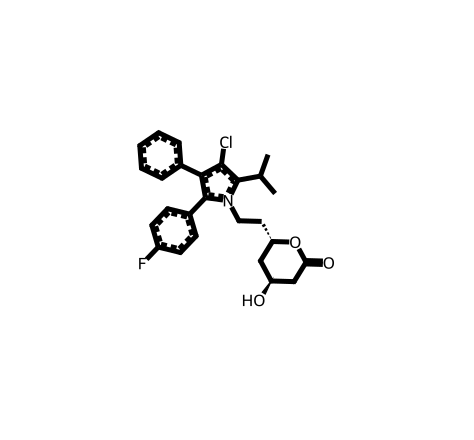 CC(C)c1c(Cl)c(-c2ccccc2)c(-c2ccc(F)cc2)n1CC[C@H]1C[C@H](O)CC(=O)O1